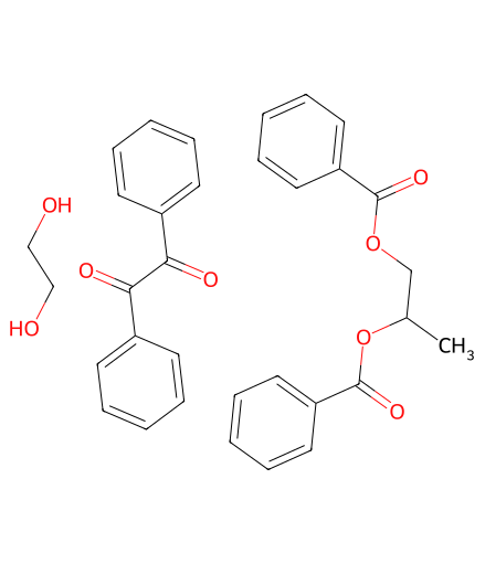 CC(COC(=O)c1ccccc1)OC(=O)c1ccccc1.O=C(C(=O)c1ccccc1)c1ccccc1.OCCO